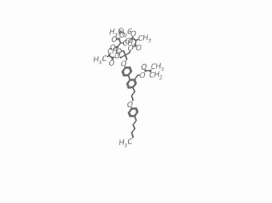 C=C(C)C(=O)OCc1cc(CCCOc2ccc(CCCCCC)cc2)ccc1-c1ccc(OCC(COC(=O)C(=C)C)(COC(=O)C(C)C(=O)OC)COC(=O)C(C)C(=O)OC)cc1